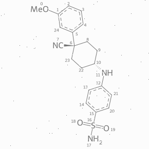 COc1cccc([C@]2(C#N)CC[C@H](Nc3ccc(S(N)(=O)=O)cc3)CC2)c1